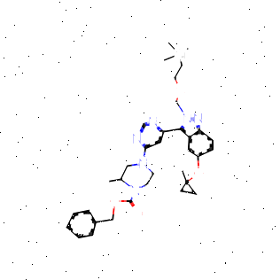 CC1CN(c2cc(-c3c4cc(OC5(C)CC5)ccc4nn3COCC[Si](C)(C)C)ncn2)C[C@H](C)N1C(=O)OCc1ccccc1